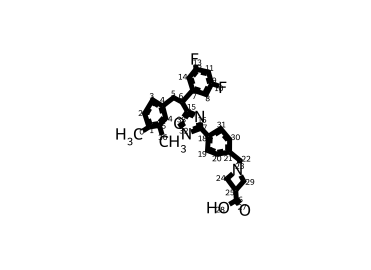 Cc1ccc(CC(c2cc(F)cc(F)c2)c2nc(-c3ccc(CN4CC(C(=O)O)C4)cc3)no2)cc1C